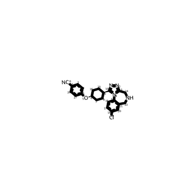 N#Cc1ccc(O[C@H]2CC[C@H](c3nnc4n3-c3ccc(Cl)cc3CNC4)CC2)cc1